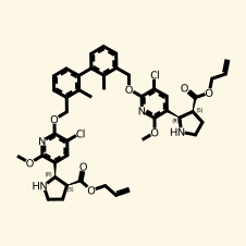 C=CCOC(=O)[C@H]1CCN[C@H]1c1cc(Cl)c(OCc2cccc(-c3cccc(COc4nc(OC)c([C@@H]5NCC[C@@H]5C(=O)OCC=C)cc4Cl)c3C)c2C)nc1OC